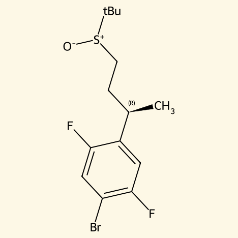 C[C@H](CC[S+]([O-])C(C)(C)C)c1cc(F)c(Br)cc1F